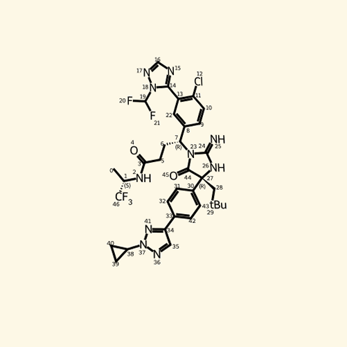 C[C@H](NC(=O)CC[C@H](c1ccc(Cl)c(-c2ncnn2C(F)F)c1)N1C(=N)N[C@](CC(C)(C)C)(c2ccc(-c3cnn(C4CC4)n3)cc2)C1=O)C(F)(F)F